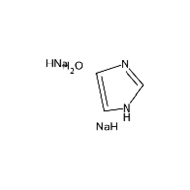 O.[NaH].[NaH].c1c[nH]cn1